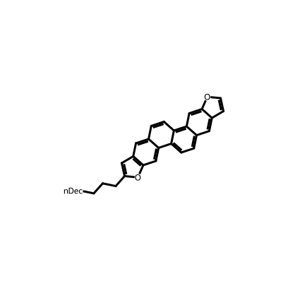 CCCCCCCCCCCCCc1cc2cc3ccc4c5cc6occc6cc5ccc4c3cc2o1